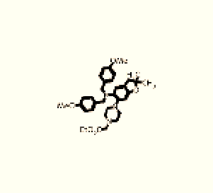 CCOC(=O)CN1CCN(c2cc3c(cc2N(Cc2ccc(OC)cc2)Cc2ccc(OC)cc2)CC(C)(C)O3)CC1